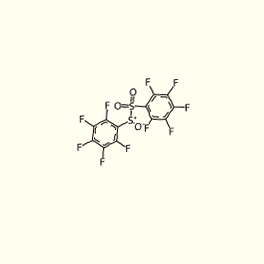 O=S(=O)(c1c(F)c(F)c(F)c(F)c1F)[S+]([O-])c1c(F)c(F)c(F)c(F)c1F